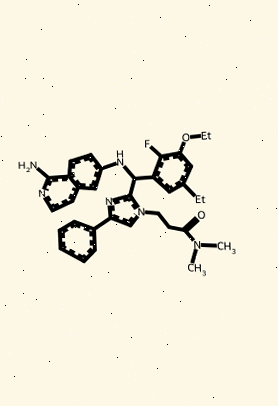 CCOc1cc(CC)cc(C(Nc2ccc3c(N)nccc3c2)c2nc(-c3ccccc3)cn2CCC(=O)N(C)C)c1F